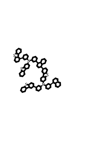 c1cc(-c2ccc3sc4ccccc4c3c2)cc(N(c2cccc(-c3cccc4ccccc34)c2)c2ccc3c(c2)sc2ccc(-c4ccc(-c5cccc(N(c6cccc(-c7cccc8sc9ccccc9c78)c6)c6ccc7c(c6)sc6ccccc67)c5)c5ccccc45)cc23)c1